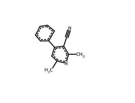 Cc1cc(-c2ccccc2)c(C#N)c(C)n1